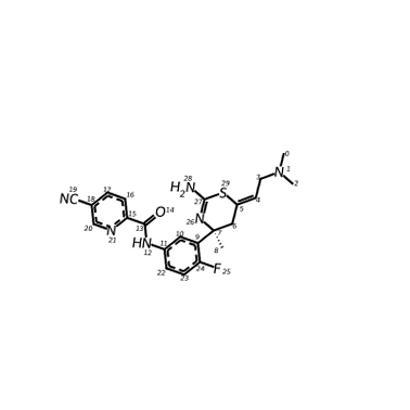 CN(C)C/C=C1/C[C@@](C)(c2cc(NC(=O)c3ccc(C#N)cn3)ccc2F)N=C(N)S1